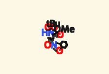 COC(=O)[C@H](C[C@H](C)C(=O)N1CCOc2ccccc2C1)NC(=O)OC(C)(C)C